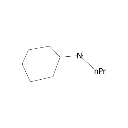 CCC[N]C1CCCCC1